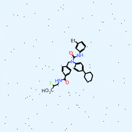 CCc1cccc(NC(=O)N(Cc2ccc(C(=O)NCC(F)C(=O)O)cc2)c2ccc(C3CCCCC3)cc2)c1